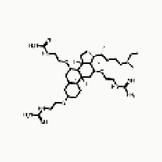 CCN(C)CCC[C@@H](C)[C@H]1CC[C@H]2C3[C@H](OCCNC(=N)N)CC4C[C@H](OCCNC(=N)N)CC[C@]4(C)[C@H]3C[C@H](OCCNC(=N)N)[C@]12C